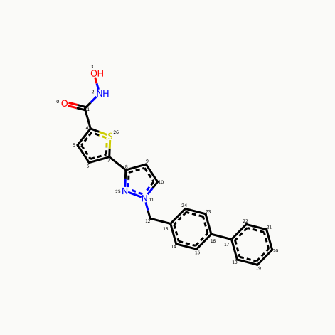 O=C(NO)c1ccc(-c2ccn(Cc3ccc(-c4ccccc4)cc3)n2)s1